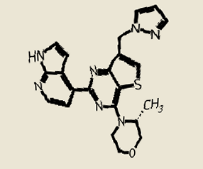 C[C@@H]1COCCN1c1nc(-c2ccnc3[nH]ccc23)nc2c(Cn3cccn3)csc12